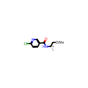 COC[C@H](C)NC(=O)c1ccc(Cl)nc1